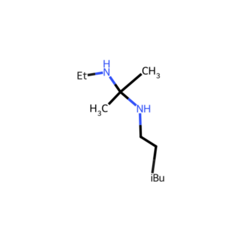 CCNC(C)(C)NCCC(C)CC